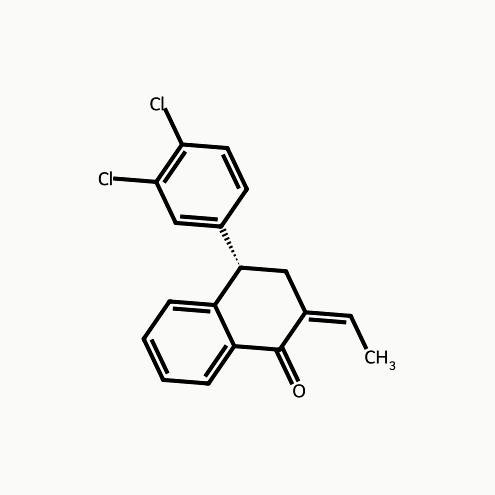 C/C=C1/C[C@@H](c2ccc(Cl)c(Cl)c2)c2ccccc2C1=O